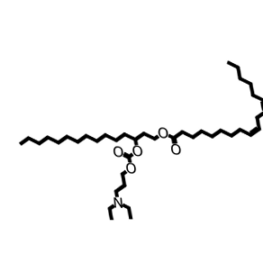 CCCCC/C=C\C/C=C\CCCCCCCC(=O)OCCC(CCCCCCCCCCCC)OC(=O)OCCCN(CC)CC